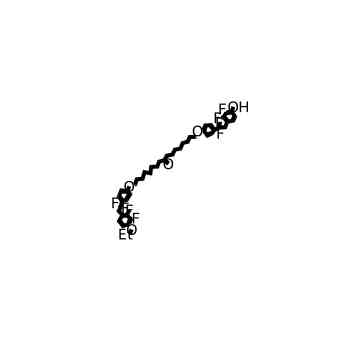 CCOc1ccc(CC(F)(F)c2ccc(OCCCCCCCCC(=O)CCCCCCCCOc3ccc(C(F)(F)Cc4ccc(O)c(F)c4F)cc3)cc2)c(F)c1F